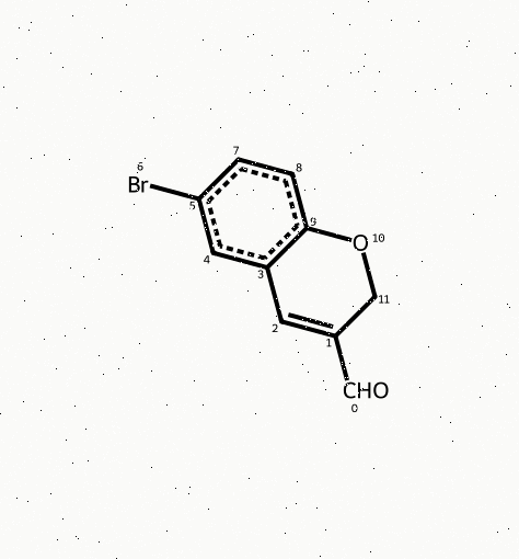 O=CC1=Cc2cc(Br)ccc2OC1